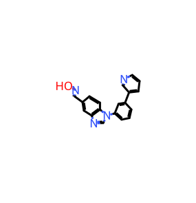 ON=Cc1ccc2c(c1)ncn2-c1cccc(-c2cccnc2)c1